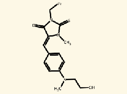 CC(C)CN1C(=O)C(=Cc2ccc(N(C)CCO)cc2)N(C)C1=S